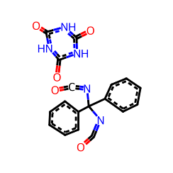 O=C=NC(N=C=O)(c1ccccc1)c1ccccc1.O=c1[nH]c(=O)[nH]c(=O)[nH]1